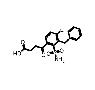 NS(=O)(=O)c1c(C(=O)CCC(=O)O)ccc(Cl)c1Cc1ccccc1